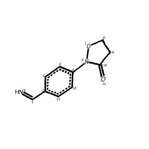 N=Cc1ccc(N2OCCC2=O)cc1